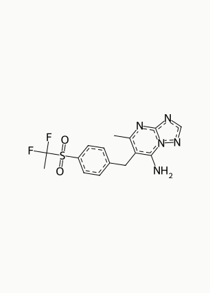 Cc1nc2ncnn2c(N)c1Cc1ccc(S(=O)(=O)C(C)(F)F)cc1